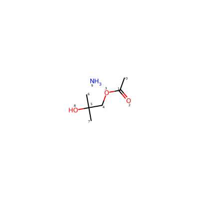 CC(=O)OCC(C)(C)O.N